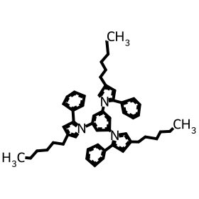 CCCCCCc1cc(-c2ccccc2)n(-c2cc(-n3cc(CCCCCC)cc3-c3ccccc3)cc(-n3cc(CCCCCC)cc3-c3ccccc3)c2)c1